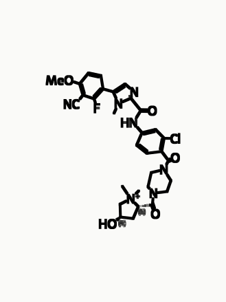 COc1ccc(-c2cnc(C(=O)Nc3ccc(C(=O)N4CCN(C(=O)[C@@H]5C[C@@H](O)C[N+]5(C)C)CC4)c(Cl)c3)n2C)c(F)c1C#N